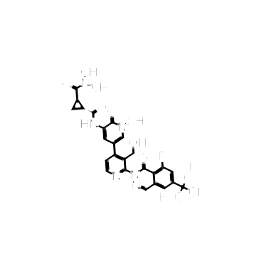 CN(C)C(=O)C1C[C@@H]1C(=O)Nc1cc(-c2ccnc(-n3ncc4cc(C(C)(C)C)cc(F)c4c3=O)c2CO)cn(C)c1=O